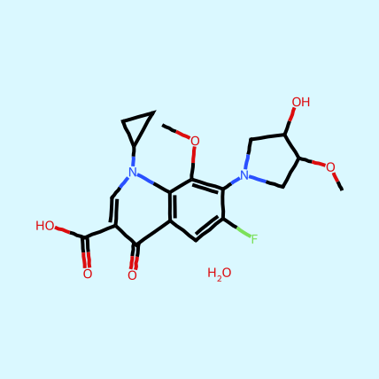 COc1c(N2CC(O)C(OC)C2)c(F)cc2c(=O)c(C(=O)O)cn(C3CC3)c12.O